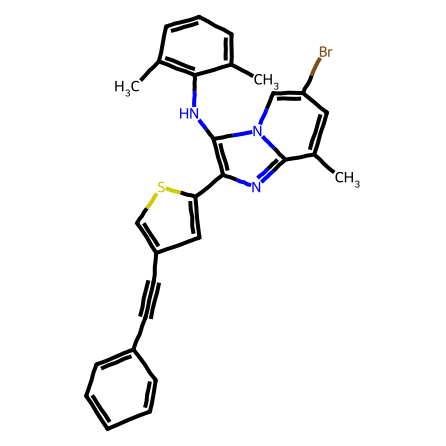 Cc1cccc(C)c1Nc1c(-c2cc(C#Cc3ccccc3)cs2)nc2c(C)cc(Br)cn12